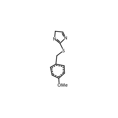 COc1ccc(CSC2=NCC=N2)cc1